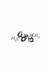 COc1cccnc1-n1cnc2c(-c3cnccc3C)cccc21